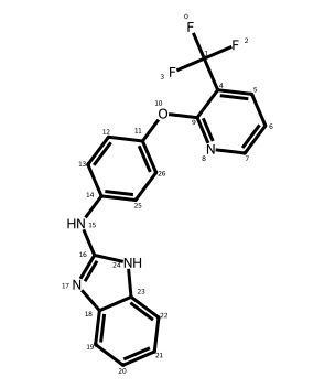 FC(F)(F)c1cccnc1Oc1ccc(Nc2nc3ccccc3[nH]2)cc1